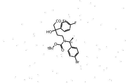 CCOC(=O)CC(O)(CCN(C(=O)OC(C)(C)C)[C@@H](C)c1ccc(Br)cc1)c1ccc(F)cc1